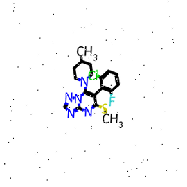 CSc1nc2ncnn2c(N2CCC(C)CC2)c1-c1c(F)cccc1Cl